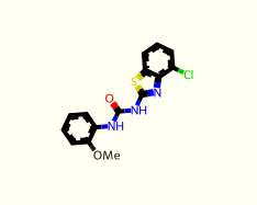 COc1ccccc1NC(=O)Nc1nc2c(Cl)cccc2s1